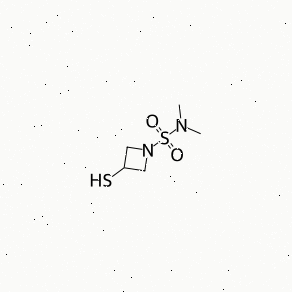 CN(C)S(=O)(=O)N1CC(S)C1